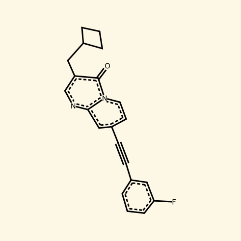 O=c1c(CC2CCC2)cnc2cc(C#Cc3cccc(F)c3)ccn12